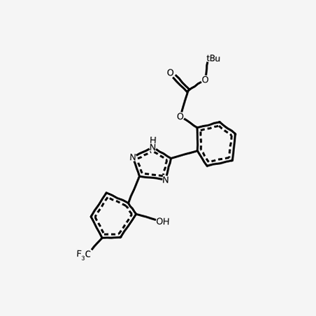 CC(C)(C)OC(=O)Oc1ccccc1-c1nc(-c2ccc(C(F)(F)F)cc2O)n[nH]1